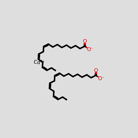 CC/C=C\C/C=C\C/C=C\CCCCCCCC(=O)[O-].CC/C=C\C/C=C\C/C=C\CCCCCCCC(=O)[O-].[Cd+2]